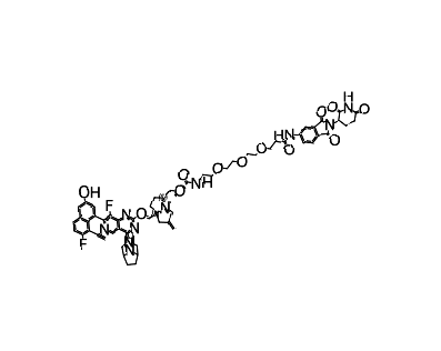 C#Cc1c(F)ccc2cc(O)cc(-c3ncc4c(N5CC6CCC(C5)N6)nc(OC[C@@]56CC[C@@H](COC(=O)NCCOCCOCCOCCC(=O)Nc7ccc8c(c7)C(=O)N(C7CCC(=O)NC7=O)C8=O)N5CC(=C)C6)nc4c3F)c12